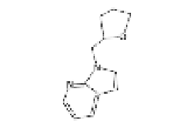 c1cnc2c(c1)ccn2CC1CCCO1